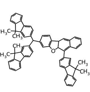 CC1(C)c2ccccc2-c2ccc(C3=c4ccccc4=CC4c5ccc(C(c6ccc7c(c6)C(C)(C)c6ccccc6-7)c6ccc7c(c6)C(C)(C)c6ccccc6-7)cc5OC34)cc21